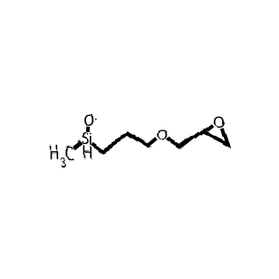 C[SiH]([O])CCCOCC1CO1